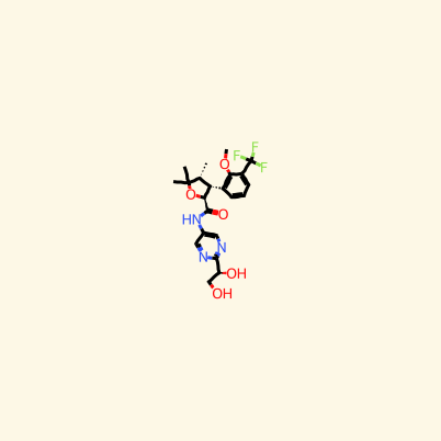 COc1c([C@@H]2[C@@H](C(=O)Nc3cnc([C@@H](O)CO)nc3)OC(C)(C)[C@@H]2C)cccc1C(F)(F)F